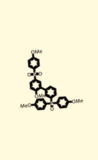 COc1ccc(P(=O)(c2ccc(OC)cc2)c2cccc(-c3cc(S(=O)(=O)c4ccc(OC)cc4)ccc3OC)c2)cc1